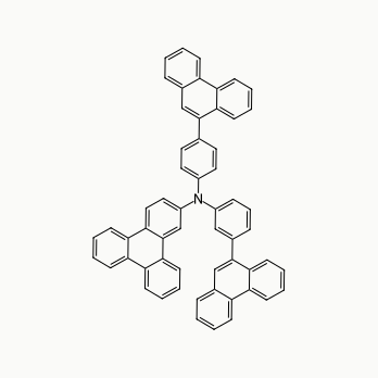 c1cc(-c2cc3ccccc3c3ccccc23)cc(N(c2ccc(-c3cc4ccccc4c4ccccc34)cc2)c2ccc3c4ccccc4c4ccccc4c3c2)c1